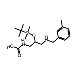 Cc1cccc(CNCC(CNC(=O)O)O[Si](C)(C)C(C)(C)C)c1